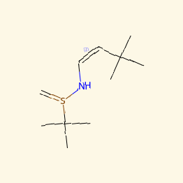 C=S(N/C=C\C(C)(C)C)C(C)(C)C